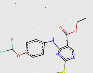 CCOC(=O)c1cnc(SC)nc1Nc1ccc(OC(F)F)cc1